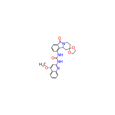 COc1cc(NC(=O)Nc2cccc3c2C2CC4(CCN2C3=O)OCCO4)nc2ccccc12